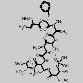 C=C(C(=O)N[C@@H](C)C(=O)N(C)[C@@H](C)C(=O)N[C@H](C(=O)N(C)[C@H](C(=O)O)[C@@H](C)OC)[C@H](OC(=O)[C@@H](NC(C)=O)[C@H](OP(=O)(O)O)C(C)C)C(C)C)N(C)C(=O)[C@@H](Cc1ccccc1)OC(=O)/C(=C/C)NC(C)=O